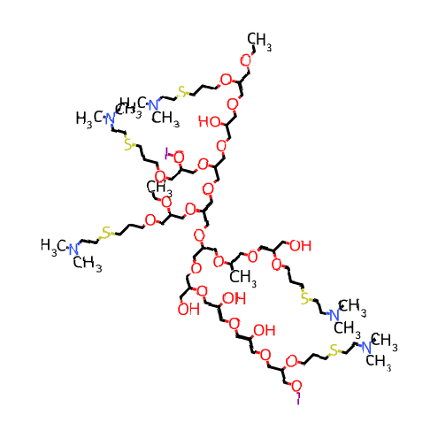 CCOCC(COCC(O)COCC(COCC(COC(COCC(CO)OCC(O)COCC(O)COCC(COI)OCCCSCCN(C)C)COC(C)COCC(CO)OCCCSCCN(C)C)OCC(COCCCSCCN(C)C)OCC)OCC(COCCCSCCN(C)C)OI)OCCCSCCN(C)C